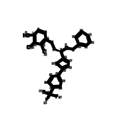 Oc1ccc(CC[C@H](OCc2ccccc2)c2ccc(-c3ccc(C(F)(F)F)cc3)s2)c(Cl)c1Cl